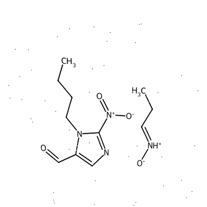 CCC=[NH+][O-].CCCCn1c(C=O)cnc1[N+](=O)[O-]